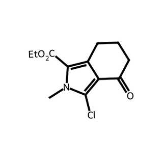 CCOC(=O)c1c2c(c(Cl)n1C)C(=O)CCC2